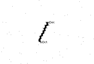 CCCCCCCC/C=C\CCCCCCC[CH]CCCCCCCCCCCCCC